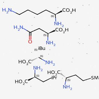 CC(C)C[C@H](N)C(=O)O.CC[C@H](C)[C@H](N)C(=O)O.CSCC[C@H](N)C(=O)O.NC(=O)C[C@H](N)C(=O)O.NCCCC[C@H](N)C(=O)O